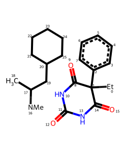 CCC1(c2ccccc2)C(=O)NC(=O)NC1=O.CNC(C)CC1CCCCC1